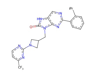 CC(C)c1ccccc1-c1ncc2[nH]c(=O)n(CC3CN(c4nccc(C(F)(F)F)n4)C3)c2n1